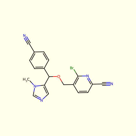 Cn1cncc1C(OCc1ccc(C#N)nc1Br)c1ccc(C#N)cc1